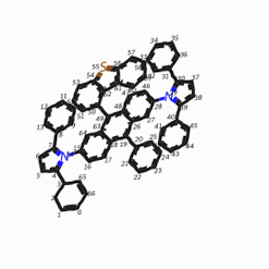 C1=CCC(c2ccc(-c3ccccc3)n2-c2ccc3c(-c4ccccc4)c4cc(-n5c(-c6ccccc6)ccc5-c5ccccc5)ccc4c(-c4cccc5sc6ccccc6c45)c3c2)C=C1